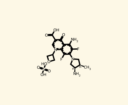 C[C@@H]1CN(c2c(F)c(N)c3c(=O)c(C(=O)O)cn(C4COC4)c3c2F)C[C@@H]1N.O=S(=O)(O)O